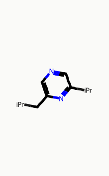 CC(C)Cc1cncc(C(C)C)n1